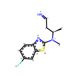 C[C@H](CC=N)N(C)c1nc2ccc(F)cc2s1